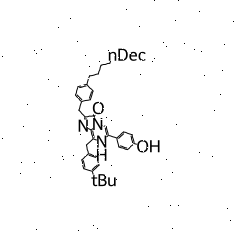 CCCCCCCCCCCCCCc1ccc(Cc2nc3c(Cc4ccc(C(C)(C)C)cc4)[nH]c(-c4ccc(O)cc4)cn-3c2=O)cc1